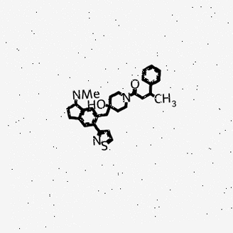 CNC1CCc2cc(-c3ccsn3)c(CC3(O)CCN(C(=O)CC(C)c4ccccc4)CC3)cc21